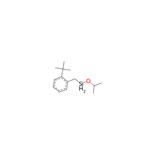 CC(C)O[SiH2]Cc1ccccc1C(C)(C)C